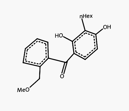 CCCCCCc1c(O)ccc(C(=O)c2ccccc2COC)c1O